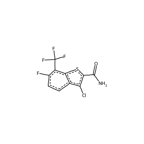 NC(=O)c1sc2c(C(F)(F)F)c(F)ccc2c1Cl